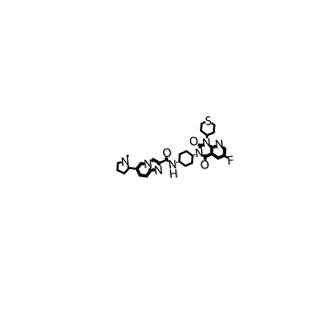 CN1CCCC1c1ccc2nc(C(=O)N[C@H]3CC[C@@H](n4c(=O)c5cc(F)cnc5n(C5CCSCC5)c4=O)CC3)cn2c1